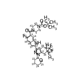 CC(C)(C)OC(=O)N1CCN(C(=O)c2cc3[nH]c(-c4nn(C5CCCCO5)c5c4C[C@@H]4C(F)(F)[C@]4(C)C5)cc3cc2F)CC1